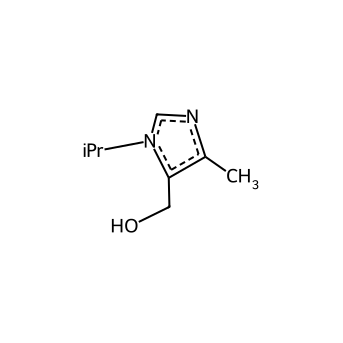 Cc1ncn(C(C)C)c1CO